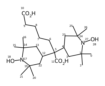 CC1(C)CC(C(CCCCC(=O)O)(C(=O)O)C2CC(C)(C)N(O)C(C)(C)C2)CC(C)(C)N1O